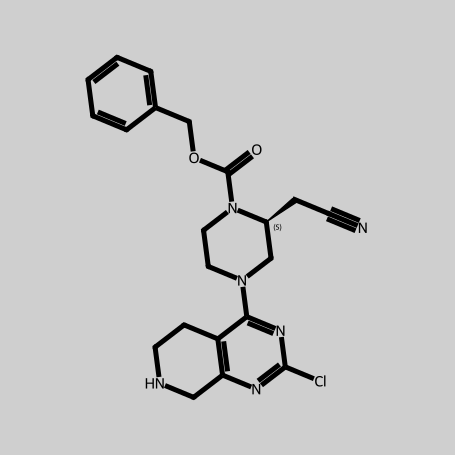 N#CC[C@H]1CN(c2nc(Cl)nc3c2CCNC3)CCN1C(=O)OCc1ccccc1